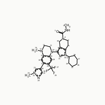 CNC(=O)N1CCc2c(c(N3CCN(C)c4cc(-c5cnn(C)c5)c(C(F)(F)F)cc43)nn2C2CCCCC2)C1